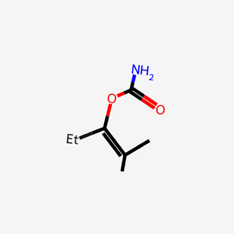 CCC(OC(N)=O)=C(C)C